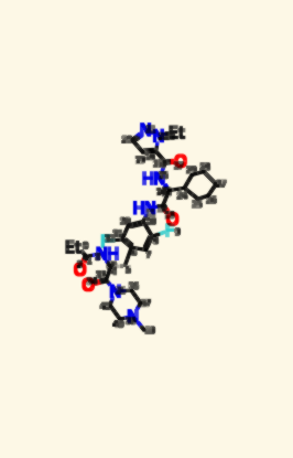 CCC(=O)N[C@H](Cc1cc(F)c(NC(=O)[C@@H](NC(=O)c2ccnn2CC)C2CCCCC2)cc1F)C(=O)N1CCN(C)CC1